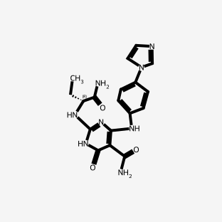 CC[C@@H](Nc1nc(Nc2ccc(-n3ccnc3)cc2)c(C(N)=O)c(=O)[nH]1)C(N)=O